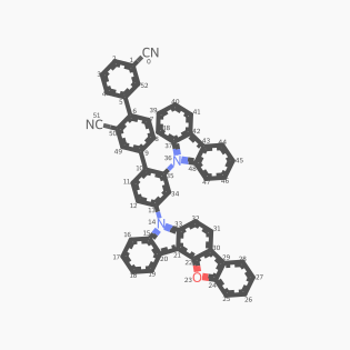 N#Cc1cccc(-c2ccc(-c3ccc(-n4c5ccccc5c5c6oc7ccccc7c6ccc54)cc3-n3c4ccccc4c4ccccc43)cc2C#N)c1